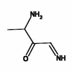 CC(N)C(=O)C=N